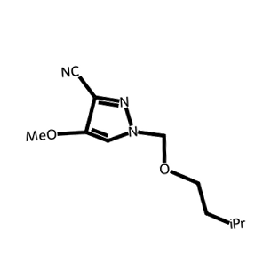 COc1cn(COCCC(C)C)nc1C#N